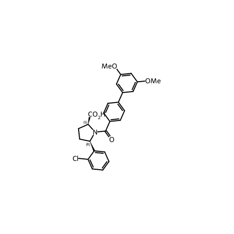 COc1cc(OC)cc(-c2ccc(C(=O)N3[C@@H](c4ccccc4Cl)CC[C@H]3C(=O)O)cc2)c1